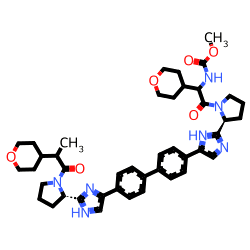 COC(=O)NC(C(=O)N1CCC[C@H]1c1ncc(-c2ccc(-c3ccc(-c4c[nH]c([C@@H]5CCCN5C(=O)[C](C)C5CCOCC5)n4)cc3)cc2)[nH]1)C1CCOCC1